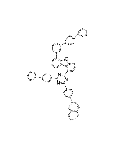 c1ccc(-c2ccc(-c3cccc(-c4cccc5c4oc4cccc(-c6nc(-c7ccc(-c8ccccc8)cc7)nc(-c7ccc(-c8ccc9ccccc9c8)cc7)n6)c45)c3)cc2)cc1